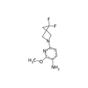 COc1nc(N2CC3(C2)CC3(F)F)ccc1N